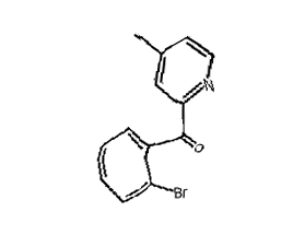 Cc1ccnc(C(=O)c2ccccc2Br)c1